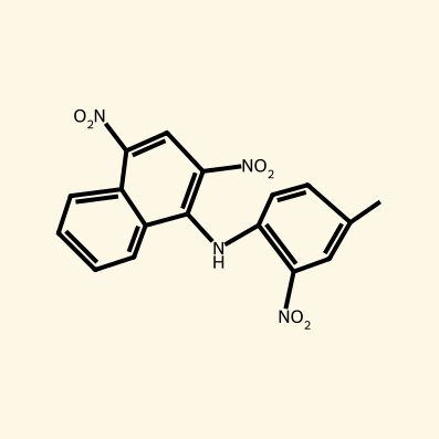 Cc1ccc(Nc2c([N+](=O)[O-])cc([N+](=O)[O-])c3ccccc23)c([N+](=O)[O-])c1